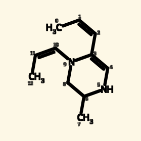 C/C=C\C1=CNC(C)CN1/C=C\C